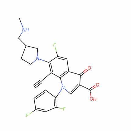 C#Cc1c(N2CCC(CNC)C2)c(F)cc2c(=O)c(C(=O)O)cn(-c3ccc(F)cc3F)c12